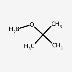 BOC(C)(C)C